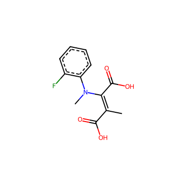 CC(C(=O)O)=C(C(=O)O)N(C)c1ccccc1F